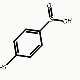 O=S(O)c1ccc(S)cc1